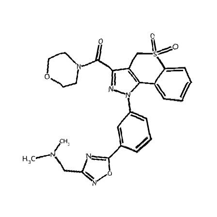 CN(C)Cc1noc(-c2cccc(-n3nc(C(=O)N4CCOCC4)c4c3-c3ccccc3S(=O)(=O)C4)c2)n1